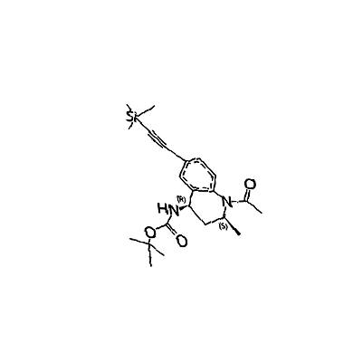 CC(=O)N1c2ccc(C#C[Si](C)(C)C)cc2[C@H](NC(=O)OC(C)(C)C)C[C@@H]1C